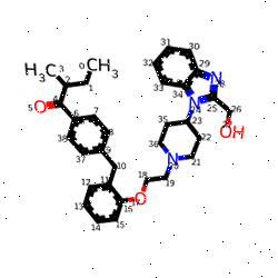 CCC(C)C(=O)c1ccc(Cc2ccccc2OCCN2CCC(n3c(CO)nc4ccccc43)CC2)cc1